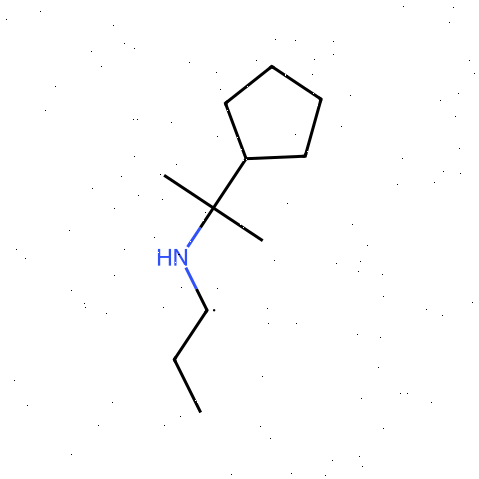 CC[CH]NC(C)(C)C1CCCC1